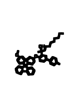 CCCCCCCCCC(C)(O)c1cc(-c2ccc(C)cc2)ccc1Oc1ccc(C2(c3ccc(OC)cc3)c3ccccc3-c3ccccc32)cc1